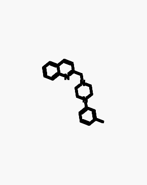 Cc1cccc(N2CCN(Cc3ccc4ccccc4n3)CC2)c1